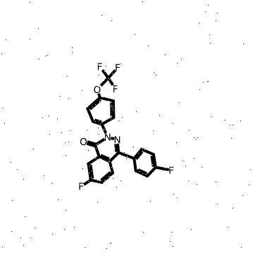 O=c1c2cc(F)ccc2c(-c2ccc(F)cc2)nn1-c1ccc(OC(F)(F)F)cc1